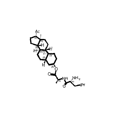 CC(=O)[C@H]1CC[C@H]2[C@@H]3CC[C@H]4C[C@H](OC(=O)[C@H](C)NC(=O)[C@H](N)CC(C)C)CC[C@]4(C)[C@H]3CC[C@]12C